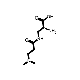 CN(C)CCC(=O)NC[C@H](N)C(=O)O